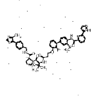 COc1cc(-c2cccc(OCCC(=O)N[C@H](C(=O)N3CCC[C@H]3C(=O)NCc3ccc(-c4scnc4C)cc3)C(C)(C)C)c2F)ccc1NC(=O)c1cccc(-c2ccn[nH]2)n1